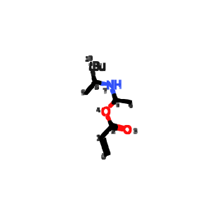 C=CC(=O)OC(C)NC(C)C(C)(C)C